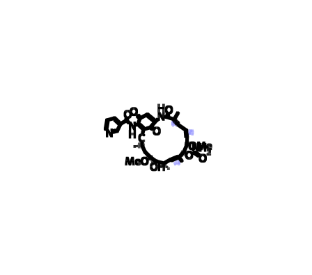 CO[C@H]1/C=C\C=C(/C)C(=O)NC2=CC(=O)C(NC(=O)c3cccnc3)=C(C[C@@H](C)C[C@H](OC)[C@H](O)[C@@H](C)/C=C(\C)[C@@H]1OC(N)=O)C2=O